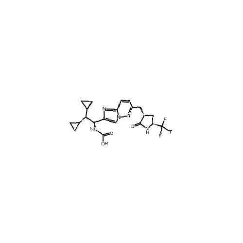 O=C(O)N[C@H](c1cn2nc(C[C@H]3C[C@@H](C(F)(F)F)NC3=O)ccc2n1)C(C1CC1)C1CC1